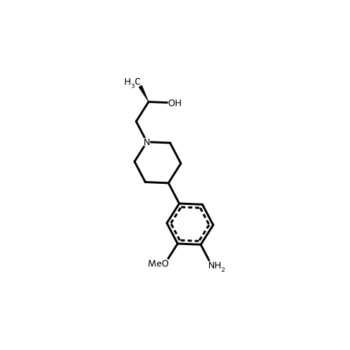 COc1cc(C2CCN(C[C@@H](C)O)CC2)ccc1N